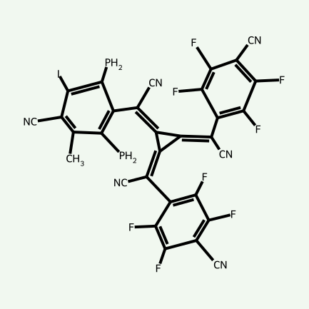 Cc1c(P)c(/C(C#N)=C2\C(=C(C#N)c3c(F)c(F)c(C#N)c(F)c3F)\C2=C(/C#N)c2c(F)c(F)c(C#N)c(F)c2F)c(P)c(I)c1C#N